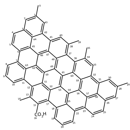 Cc1cc2ccc3c4cccc5c6c(C)c(C(=O)O)c7c8cccc9c%10ccc%11cc(C)cc%12c%13cc(C)c%14c%15c(C)cc%16c(c1)c2c3c1c%16c%15c2c(c6c7c3c(c98)c(c%10c%11%12)c%13c%14c32)c1c45